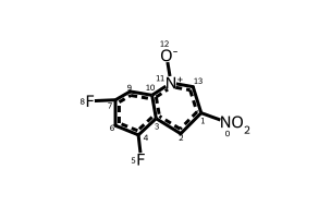 O=[N+]([O-])c1cc2c(F)cc(F)cc2[n+]([O-])c1